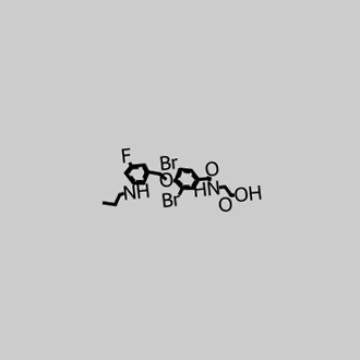 CCCNc1cc(F)cc(COc2c(Br)cc(C(=O)NCC(=O)O)cc2Br)c1